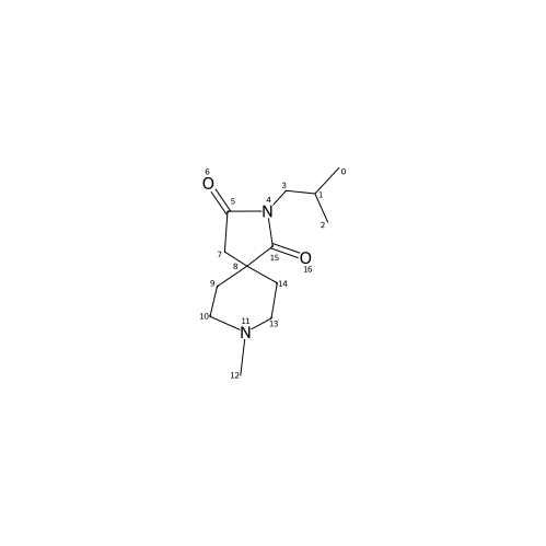 CC(C)CN1C(=O)CC2(CCN(C)CC2)C1=O